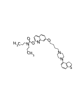 CCCN(CCC)C(=O)Oc1ccc2ccc(OCCCCN3CCN(c4cccc5c4CCS5)CC3)cc2n1